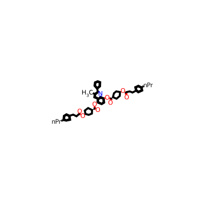 CCCc1ccc(CCC(=O)O[C@H]2CC[C@H](C(=O)Oc3ccc(OC(=O)[C@H]4CC[C@H](OC(=O)CCc5ccc(CCC)cc5)CC4)c4nc(-c5ccccc5)c(C)cc34)CC2)cc1